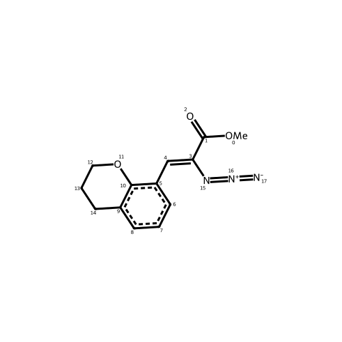 COC(=O)C(=Cc1cccc2c1OCCC2)N=[N+]=[N-]